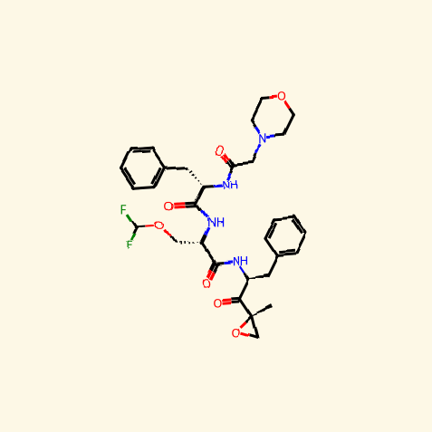 C[C@@]1(C(=O)[C@H](Cc2ccccc2)NC(=O)[C@H](COC(F)F)NC(=O)[C@H](Cc2ccccc2)NC(=O)CN2CCOCC2)CO1